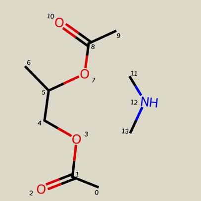 CC(=O)OCC(C)OC(C)=O.CNC